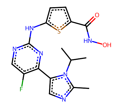 Cc1ncc(-c2nc(Nc3ccc(C(=O)NO)s3)ncc2F)n1C(C)C